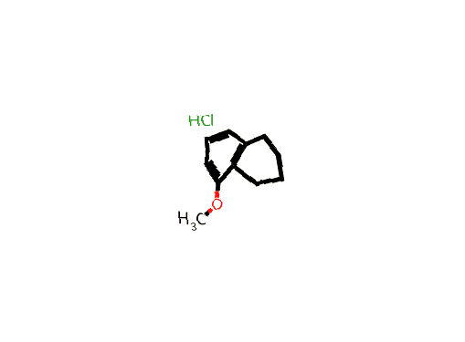 COc1cccc2c1CCCC2.Cl